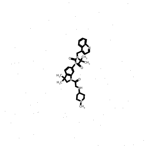 CN1CCC(NCC(=O)N2CC(C)(C)c3ccc(N4C(=O)N(Cc5ccnc6ccccc56)C(C)(C)C4=O)cc32)CC1